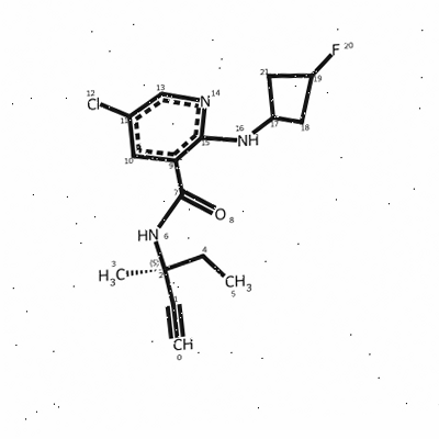 C#C[C@](C)(CC)NC(=O)c1cc(Cl)cnc1NC1CC(F)C1